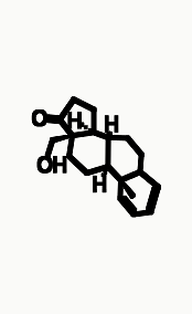 C[C@]12C=CC=CC1CC[C@H]1[C@@H]3CCC(=O)[C@@]3(CO)CC[C@@H]12